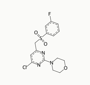 O=S(=O)(Cc1cc(Cl)nc(N2CCOCC2)n1)c1cccc(F)c1